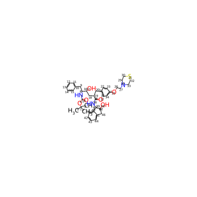 CC(C)(C)OC(=O)NC(Cc1ccccc1)C(O)CC(Cc1ccc(OCCN2CCSCC2)cc1)C(=O)N[C@H]1c2ccccc2C[C@@H]1O